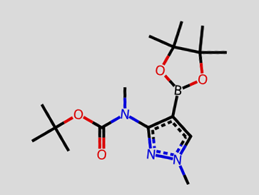 CN(C(=O)OC(C)(C)C)c1nn(C)cc1B1OC(C)(C)C(C)(C)O1